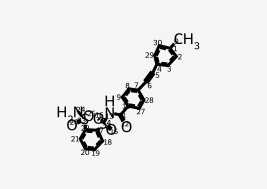 Cc1ccc(C#Cc2ccc(C(=O)NS(=O)(=O)c3ccccc3S(N)(=O)=O)cc2)cc1